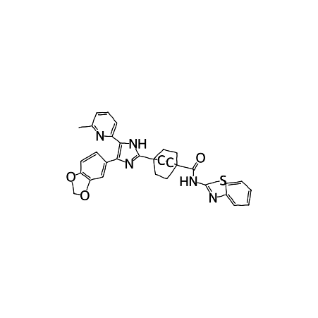 Cc1cccc(-c2[nH]c(C34CCC(C(=O)Nc5nc6ccccc6s5)(CC3)CC4)nc2-c2ccc3c(c2)OCO3)n1